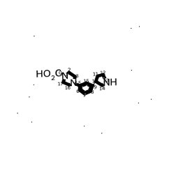 O=C(O)N1CCN(c2cccc([C@@H]3CCNC3)c2)CC1